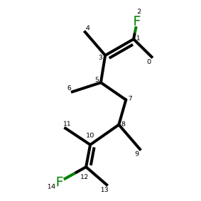 C/C(F)=C(/C)C(C)CC(C)/C(C)=C(\C)F